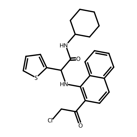 O=C(CCl)c1ccc2ccccc2c1NC(C(=O)NC1CCCCC1)c1cccs1